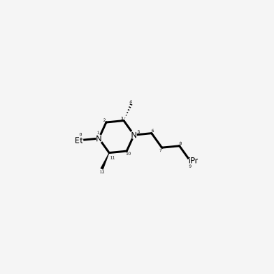 CCN1C[C@H](C)N(CCCC(C)C)C[C@H]1C